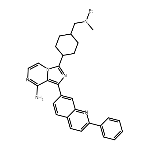 CCN(C)CC1CCC(c2nc(-c3ccc4ccc(-c5ccccc5)nc4c3)c3c(N)nccn23)CC1